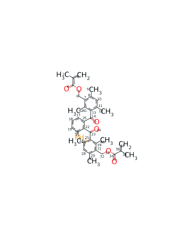 C=C(C)C(=O)OCc1c(C)cc(C)c(C(=O)c2cccc(P)c2C(=O)c2c(C)cc(C)c(COC(=O)C(=C)C)c2C)c1C